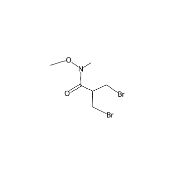 CON(C)C(=O)C(CBr)CBr